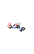 O=c1cc(CN2CCOc3c(Cl)cc(-n4ccc5cc(F)ccc54)cc3C2)cco1